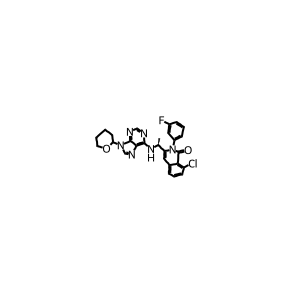 C[C@H](Nc1ncnc2c1ncn2C1CCCCO1)c1cc2cccc(Cl)c2c(=O)n1-c1cccc(F)c1